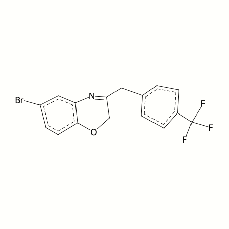 FC(F)(F)c1ccc(CC2=Nc3cc(Br)ccc3OC2)cc1